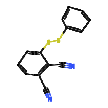 N#Cc1cccc(SSc2ccccc2)c1C#N